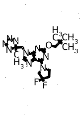 CC(C)(C)COc1nc(N2CCC(F)(F)C2)c2ncn(CC3(C)N=NN=N3)c2n1